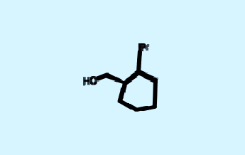 CC(C)C1CCCC[C@H]1CO